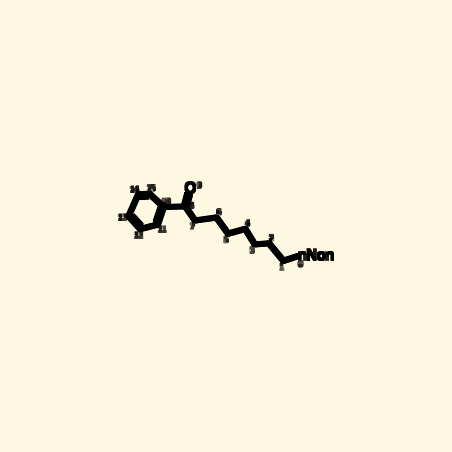 CCCCCCCCCCCCCCCCC(=O)c1ccccc1